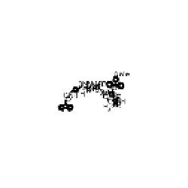 COc1ccc(C(OC[C@H]2O[C@@H](n3cc(C)c(=O)[nH]c3=O)C[C@H]2OP(OCCC#N)OC[C@H]2O[C@@H](n3cnc4c(NC(=O)c5ccc(CNC(=O)OCC6c7ccccc7-c7ccccc76)cc5)ncnc43)C[C@H]2O)(c2ccccc2)c2ccc(OC)cc2)cc1